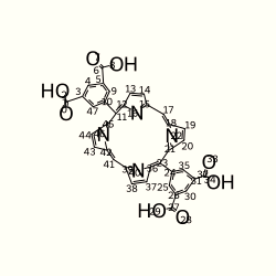 O=C(O)c1cc(C(=O)O)cc(C2=C3C=CC(=N3)C=C3C=CC(=N3)C(c3cc(C(=O)O)cc(C(=O)O)c3)=C3C=CC(=N3)C=C3C=CC2=N3)c1